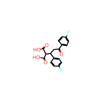 O=C(CC(c1ccc(F)cc1)C(C(=O)O)C(=O)O)c1ccc(F)cc1